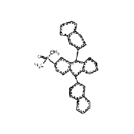 CP(C)(=O)c1ccc2c(-c3ccc4ccccc4c3)c3ccccc3c(-c3ccc4ccccc4c3)c2c1